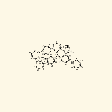 CC1(C)c2ccccc2N(c2ccc3c(c2)C2(c4ccccc4-c4ccccc42)c2ccccc2-3)c2ccc(-c3ccccc3)cc21